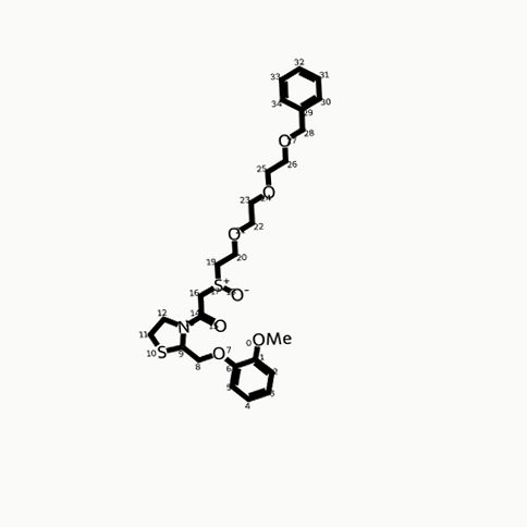 COc1ccccc1OCC1SCCN1C(=O)C[S+]([O-])CCOCCOCCOCc1ccccc1